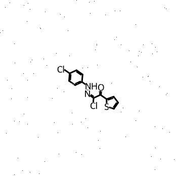 O=C(/C(Cl)=N\Nc1ccc(Cl)cc1)c1cccs1